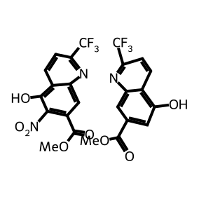 COC(=O)c1cc(O)c2ccc(C(F)(F)F)nc2c1.COC(=O)c1cc2nc(C(F)(F)F)ccc2c(O)c1[N+](=O)[O-]